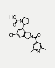 Cc1cc(C(=O)N2Cc3cc(Cl)cc([C@@H]4CCCN4C(=O)O)c3C2)cc(C)n1